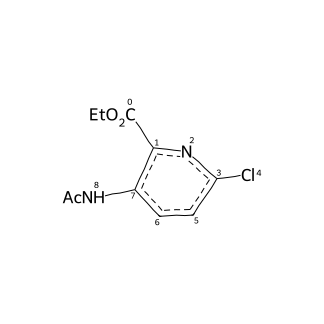 CCOC(=O)c1nc(Cl)ccc1NC(C)=O